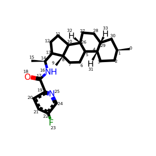 C[C@H]1CC[C@@H]2C3CC[C@@]4(C)C(CCC4[C@H](C)NC(=O)c4ccc(F)cn4)[C@@H]3CC[C@@H]2C1